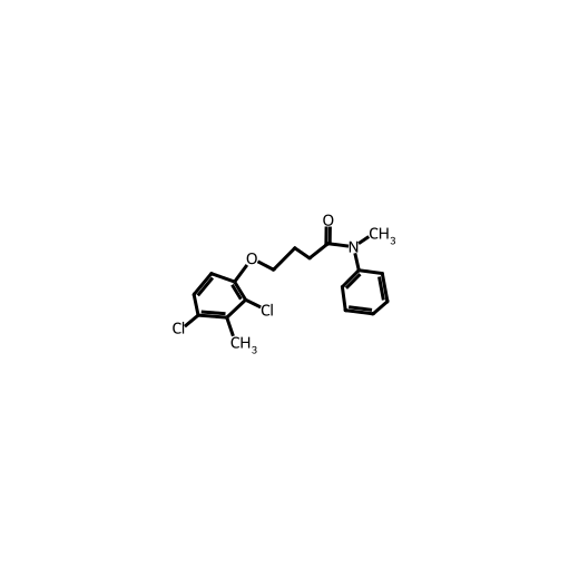 Cc1c(Cl)ccc(OCCCC(=O)N(C)c2ccccc2)c1Cl